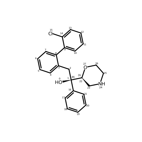 O[C@](Cc1ccccc1-c1ccccc1Cl)(c1ccccc1)[C@@H]1CNCCO1